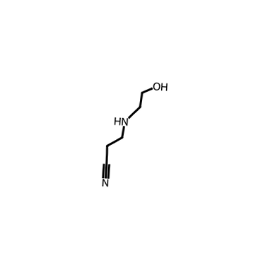 N#CCCNCCO